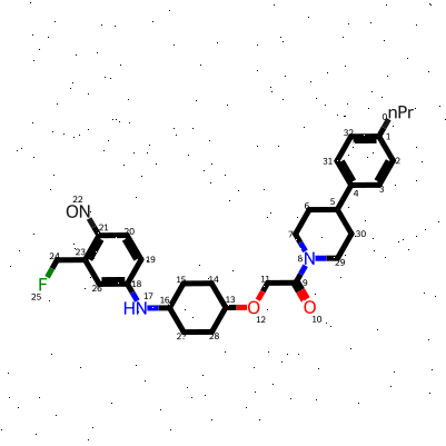 CCCc1ccc(C2CCN(C(=O)COC3CCC(Nc4ccc(N=O)c(CF)c4)CC3)CC2)cc1